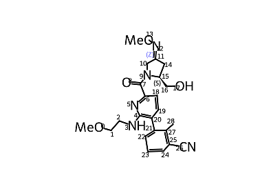 COCCNc1nc(C(=O)N2C/C(=N\OC)C[C@H]2CO)ccc1-c1cccc(C#N)c1C